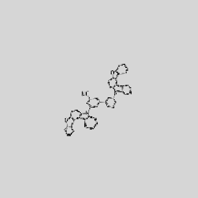 N#Cc1cc(-c2cccc(-n3c4ccccc4c4c5c(ccc43)oc3ccccc35)c2)cc(-n2c3ccccc3c3c4c(ccc32)oc2ccccc24)c1